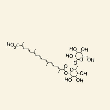 CC(/C=C/C=C(\C)C(=O)O)=C\C=C\C=C(C)\C=C\C=C(/C)C(=O)OC1OC(COC2OC(CO)C(O)C(O)C2O)C(O)C(O)C1O